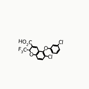 O=C(O)C1=Cc2c(ccc(Cl)c2Oc2cccc(Cl)c2)O[C@H]1C(F)(F)F